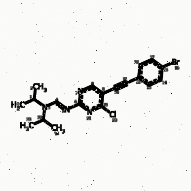 CC(C)N(/C=N/c1ncc(C#Cc2ccc(Br)cc2)c(Cl)n1)C(C)C